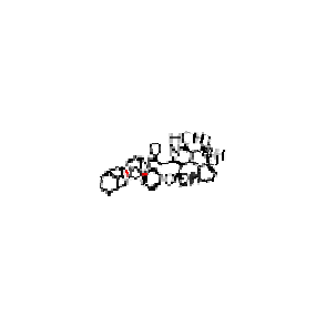 CC1=C(C(=O)O)C(c2c(Cl)cccc2Cl)C(C(=O)O)=C(CC(=O)N2CCN(C3C4CCCC3CN(Cc3ccccc3)C4)CC2)N1